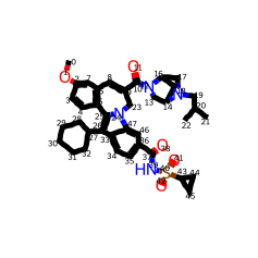 COc1ccc2c(c1)C=C(C(=O)N1CC3CC1CN3CC(C)C)Cn1c-2c(C2CCCCC2)c2ccc(C(=O)NS(=O)(=O)C3CC3)cc21